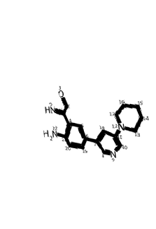 N=C(C=O)c1cc(-c2cncc(N3CCCCC3)c2)ccc1N